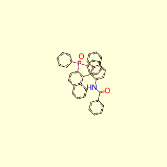 O=C(Nc1ccc2ccccc2c1-c1c(P(=O)(c2ccccc2)c2ccccc2)ccc2ccccc12)c1ccccc1